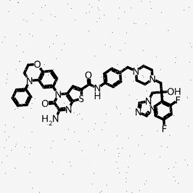 Nc1nc2sc(C(=O)Nc3ccc(CN4CCN(CC(O)(Cn5cncn5)c5ccc(F)cc5F)CC4)cc3)cc2n(-c2ccc3c(c2)N(c2ccccc2)CCO3)c1=O